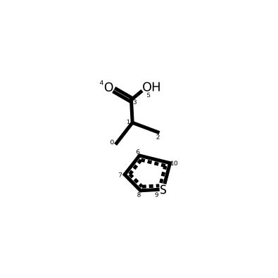 CC(C)C(=O)O.c1ccsc1